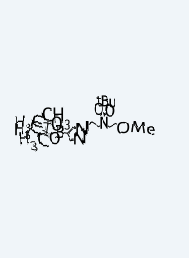 COCCN(CCn1cc(B2OC(C)(C)C(C)(C)O2)cn1)C(=O)OC(C)(C)C